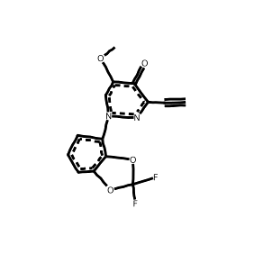 C#Cc1nn(-c2cccc3c2OC(F)(F)O3)cc(OC)c1=O